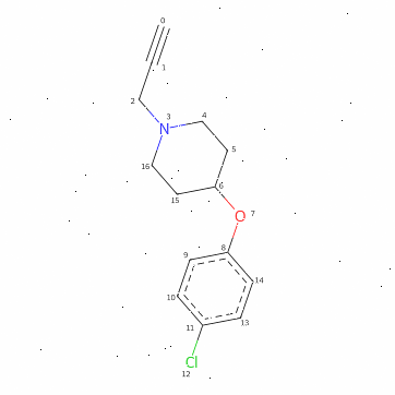 C#CCN1CCC(Oc2ccc(Cl)cc2)CC1